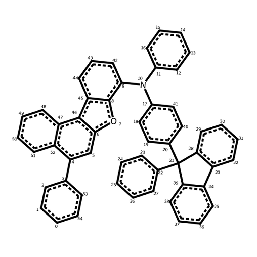 c1ccc(-c2cc3oc4c(N(c5ccccc5)c5ccc(C6(c7ccccc7)c7ccccc7-c7ccccc76)cc5)cccc4c3c3ccccc23)cc1